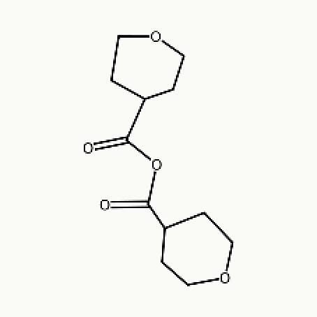 O=C(OC(=O)C1CCOCC1)C1CCOCC1